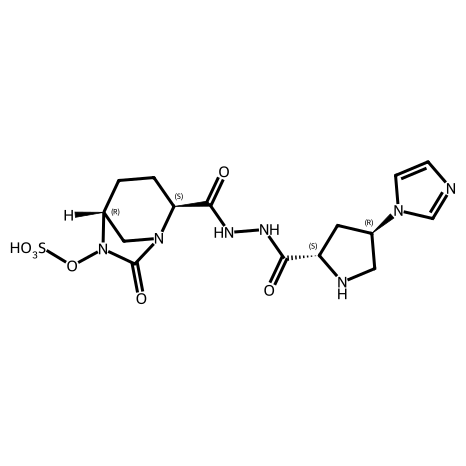 O=C(NNC(=O)[C@@H]1CC[C@@H]2CN1C(=O)N2OS(=O)(=O)O)[C@@H]1C[C@@H](n2ccnc2)CN1